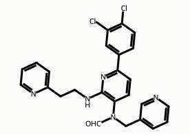 O=CN(Cc1cccnc1)c1ccc(-c2ccc(Cl)c(Cl)c2)nc1NCCc1ccccn1